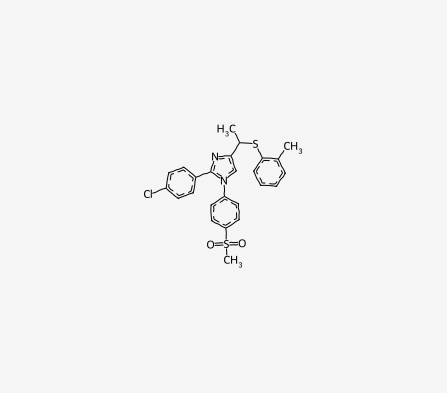 Cc1ccccc1SC(C)c1cn(-c2ccc(S(C)(=O)=O)cc2)c(-c2ccc(Cl)cc2)n1